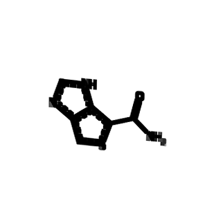 NC(=O)c1scc2nc[nH]c12